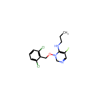 CCCNC1=C(F)C=NCN1OCc1c(Cl)cccc1Cl